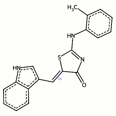 Cc1ccccc1NC1=NC(=O)/C(=C/c2c[nH]c3ccccc23)S1